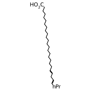 CCCC=CCC=CCCCCCCCCCCCCCCCCCCCC(=O)O